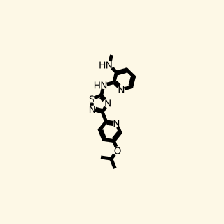 CNc1cccnc1Nc1nc(-c2ccc(OC(C)C)cn2)ns1